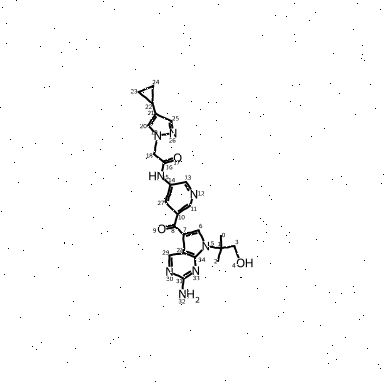 CC(C)(CO)n1cc(C(=O)c2cncc(NC(=O)Cn3cc(C4CC4)cn3)c2)c2cnc(N)nc21